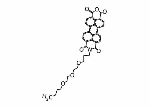 CCCCOCCOCCOCCCN1C(=O)c2ccc3c4ccc5c6c(ccc(c7ccc(c2c37)C1=O)c64)C(=O)OC5=O